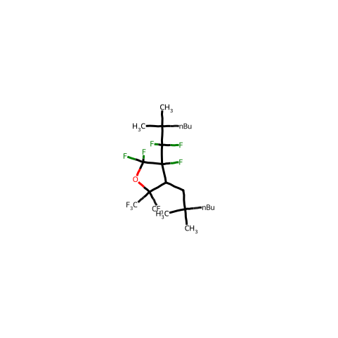 CCCCC(C)(C)CC1C(F)(C(F)(F)C(C)(C)CCCC)C(F)(F)OC1(C(F)(F)F)C(F)(F)F